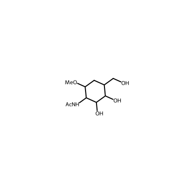 COC1CC(CO)C(O)C(O)C1NC(C)=O